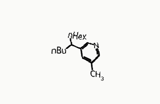 CCCCCCC(CCCC)c1cncc(C)c1